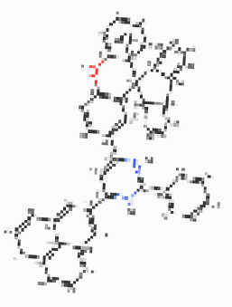 CC12CC=CC=C1Oc1ccc(-c3cc(-c4cc5c6c(cccc6c4)CC=C5)nc(-c4ccccc4)n3)cc1C21c2ccccc2-c2ccccc21